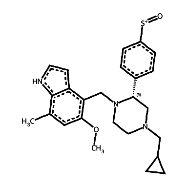 COc1cc(C)c2[nH]ccc2c1CN1CCN(CC2CC2)C[C@H]1c1ccc([S+]=O)cc1